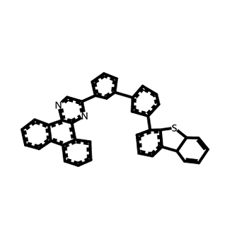 C1=CC2Sc3c(-c4cccc(-c5cccc(-c6cnc7c8ccccc8c8ccccc8c7n6)c5)c4)cccc3C2C=C1